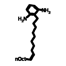 CCCCCCCC/C=C\CCCCCCCCc1c(N)cccc1N